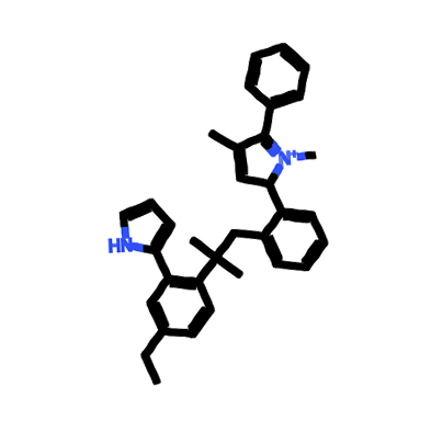 CCc1ccc(C(C)(C)Cc2ccccc2C2C=C(C)C(c3ccccc3)=[N+]2C)c(-c2ccc[nH]2)c1